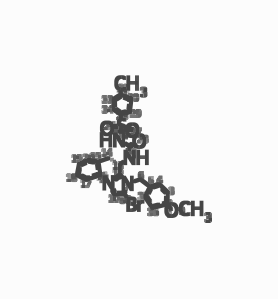 COc1ccc(Cn2c(Br)cnc2[C@H](Cc2ccccc2)NC(=O)NS(=O)(=O)c2ccc(C)cc2)cc1